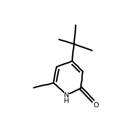 Cc1cc(C(C)(C)C)cc(=O)[nH]1